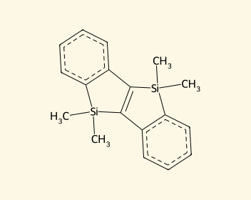 C[Si]1(C)C2=C(c3ccccc31)[Si](C)(C)c1ccccc12